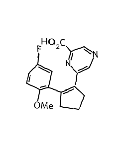 COc1ccc(F)cc1C1=C(c2cncc(C(=O)O)n2)CCC1